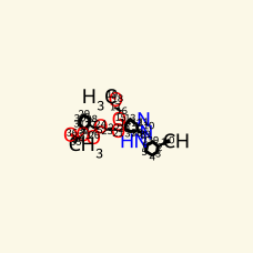 C#Cc1cccc(Nc2ncnc3cc(OCCOC)c(OCCOC(=O)c4ccccc4OC(C)=O)cc23)c1